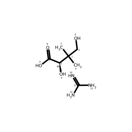 CC(C)(CO)[C@@H](O)C(=O)O.N=C(N)N